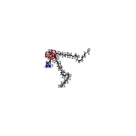 CCCCC/C=C\C/C=C\CCCCCCCCC(CCCCCCCC/C=C\C/C=C\CCCCC)OC1(C)OCC(CCN(C)C)O1